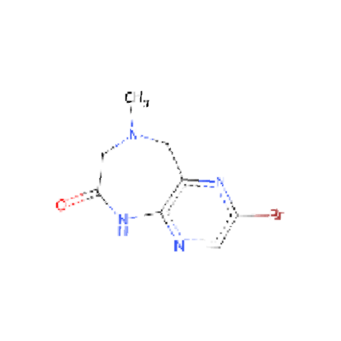 CN1CC(=O)Nc2ncc(Br)nc2C1